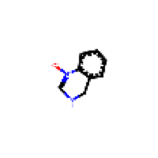 [O-][N+]1=CNCc2ccccc21